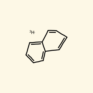 [2H].c1ccc2ccccc2c1